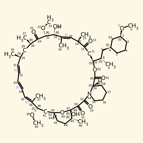 CO[C@H]1CCC[C@@H](C[C@H](C)[C@@H]2CC(=O)[C@H](C)/C=C(\C)[C@@H](O)[C@@H](OC)C(=O)[C@H](C)C[C@H](C)/C=C/C=C/C=C(\C)[C@@H](OC)C[C@@H]3CC[C@@H](C)[C@@](O)(O3)C(=O)C(=O)N3CCCC[C@H]3C(=O)O2)C1